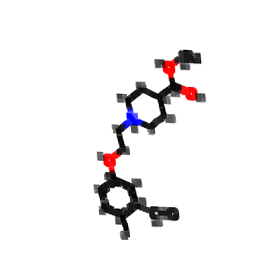 Cc1ccc(OCCN2CCC(C(=O)OC(C)(C)C)CC2)cc1C=O